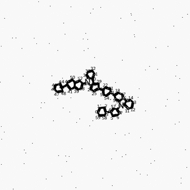 c1ccc(-c2cccc(-n3c4ccccc4c4ccc(-c5ccc(-c6ccc7c(c6)c6ccccc6n7-c6ccc7cc(-c8ccccc8)ccc7c6)cc5)cc43)c2)cc1